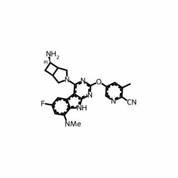 CNc1cc(F)cc2c1[nH]c1nc(Oc3cnc(C#N)c(C)c3)nc(N3CC4C[C@@H](N)C4C3)c12